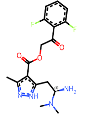 Cc1n[nH]c(C[C@@H](N)N(C)C)c1C(=O)OCC(=O)c1c(F)cccc1F